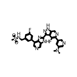 CN(C)c1cncc(-c2ncc3[nH]nc(-c4nc5c(-c6cc(F)cc(CNS(C)(=O)=O)c6)cncc5[nH]4)c3c2F)c1